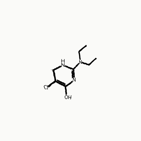 CCN(CC)C1=NC(O)=C(Cl)[CH]N1